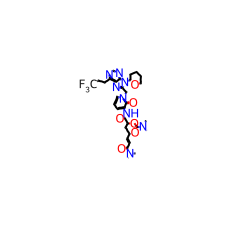 CN(C)C(=O)C=CCCC(OC(=O)N(C)C)C(=O)Nc1cccn(Cc2nc3c(CCC(F)(F)F)ncnc3n2C2CCCCO2)c1=O